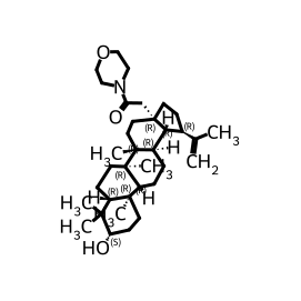 C=C(C)[C@@H]1CC[C@]2(CC(=O)N3CCOCC3)CC[C@]3(C)[C@H](CC[C@@H]4[C@@]5(C)CC[C@H](O)C(C)(C)[C@@H]5CC[C@]43C)[C@@H]12